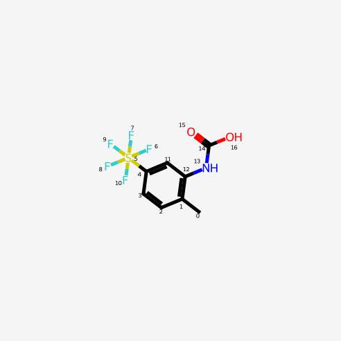 Cc1ccc(S(F)(F)(F)(F)F)cc1NC(=O)O